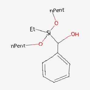 CCCCCO[Si](CC)(OCCCCC)C(O)c1ccccc1